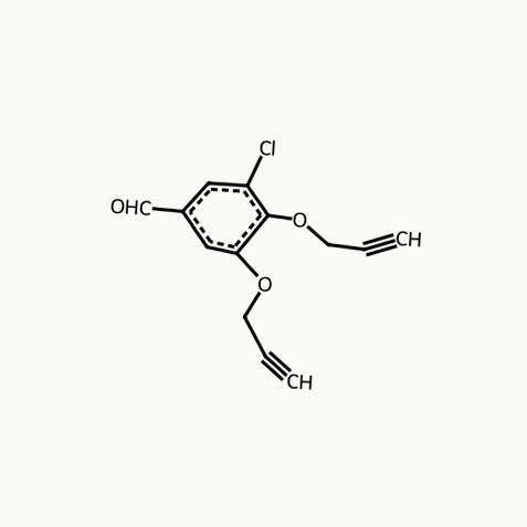 C#CCOc1cc(C=O)cc(Cl)c1OCC#C